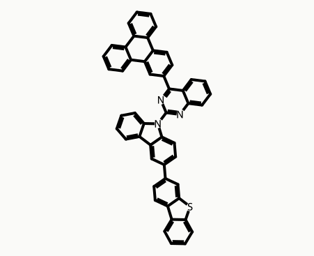 c1ccc2c(-c3ccc4c5ccccc5c5ccccc5c4c3)nc(-n3c4ccccc4c4cc(-c5ccc6c(c5)sc5ccccc56)ccc43)nc2c1